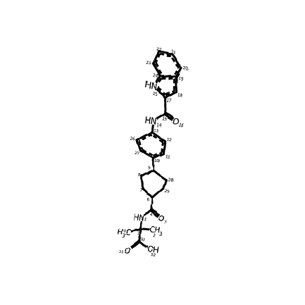 CC(C)(NC(=O)[C@H]1CC[C@@H](c2ccc(NC(=O)c3cc4ccccc4[nH]3)cc2)CC1)C(=O)O